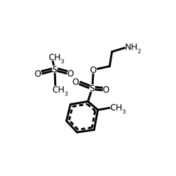 CS(C)(=O)=O.Cc1ccccc1S(=O)(=O)OCCN